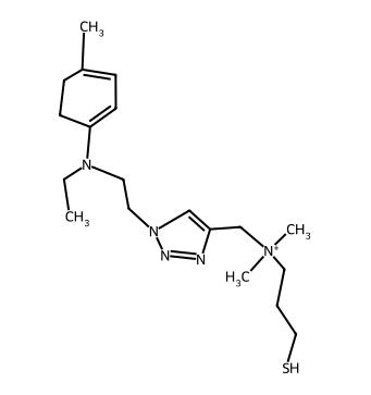 CCN(CCn1cc(C[N+](C)(C)CCCS)nn1)C1=CC=C(C)CC1